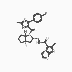 Cc1nc(C(=O)N2[C@H](CNC(=O)c3c(C)nc4sccn34)C[C@@H]3CCC[C@@H]32)c(-c2ccc(F)cc2)s1